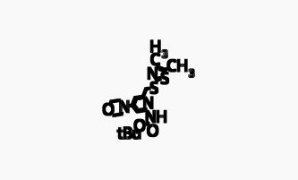 Cc1nc(SCc2cc(N3CCOCC3)cc(NC(=O)OC(C)(C)C)n2)sc1C